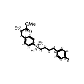 CC[C@@H](Cc1ccc([Si](CC)(CC)CCCCc2ccc(C)cc2)cc1)C(=O)OC